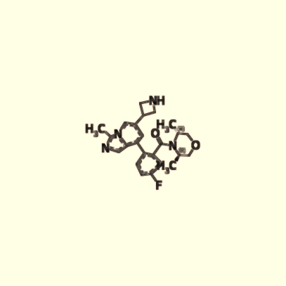 Cc1ncc2c(-c3ccc(F)cc3C(=O)N3[C@H](C)COC[C@H]3C)cc(C3CNC3)cn12